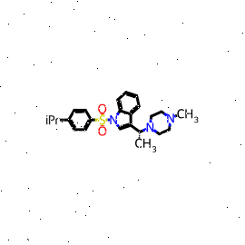 CC(C)c1ccc(S(=O)(=O)n2cc([C@@H](C)N3CCN(C)CC3)c3ccccc32)cc1